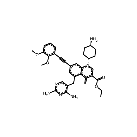 CCOC(=O)c1cn([C@H]2CC[C@H](N)CC2)c2cc(C#Cc3cccc(OC)c3OC)cc(Cc3cnc(N)nc3N)c2c1=O